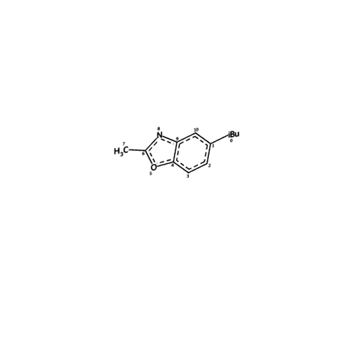 CCC(C)c1ccc2oc(C)nc2c1